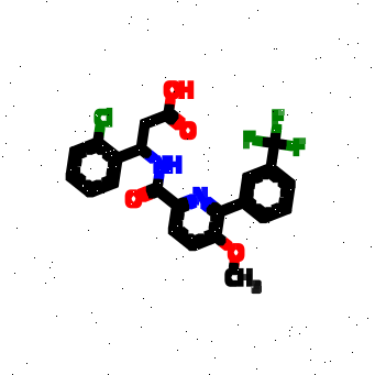 COc1ccc(C(=O)NC(CC(=O)O)c2ccccc2Cl)nc1-c1cccc(C(F)(F)F)c1